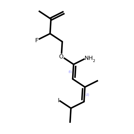 C=C(C)C(F)CO/C(N)=C/C(C)=C\C(C)I